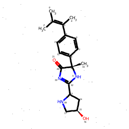 CC(C)=C(C)c1ccc([C@]2(C)NC(C3C[C@@H](O)CN3)=NC2=O)cc1